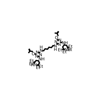 C=C(C)COc1nc(NCCCCCCNc2nc(NC3CC(CC)(CC)NC(CC)(CC)C3)nc(OCC(=C)C)n2)nc(NC2CC(CC)(CC)NC(CC)(CC)C2)n1